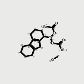 CC(C)(C)C(=O)[O][Ti+]([O]C(=O)C(C)(C)C)[CH]1CCCC2=C1CC1=C2CCCC1.C[O-]